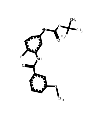 CSc1cccc(C(=O)Nc2cc(NC(=O)OC(C)(C)C)ccc2F)c1